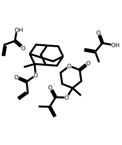 C=C(C)C(=O)O.C=C(C)C(=O)OC1(C)CCOC(=O)C1.C=CC(=O)O.C=CC(=O)OC1(C)C2CC3CC(C2)CC1C3